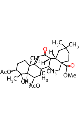 COC(=O)[C@]12CCC(C)(C)C[C@H]1[C@H]1C(=O)C=C3[C@@]4(C)CC[C@H](OC(C)=O)C(C)(C)[C@@H]4[C@H](OC(C)=O)C[C@@]3(C)[C@]1(C)CC2